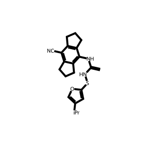 C=C(NSc1cc(C(C)C)co1)Nc1c2c(c(C#N)c3c1CCC3)CCC2